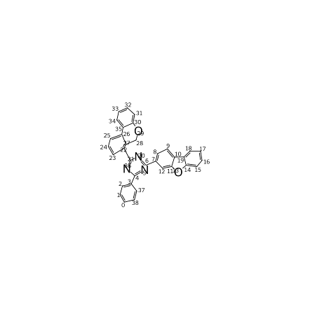 c1ccc(-c2nc(-c3ccc4c(c3)oc3ccccc34)nc(-c3cccc4c3COc3ccccc3-4)n2)cc1